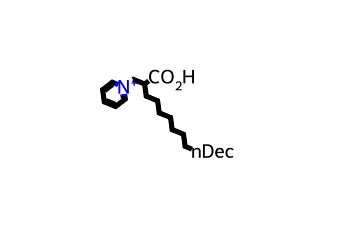 CCCCCCCCCCCCCCCCCC(C[n+]1ccccc1)C(=O)O